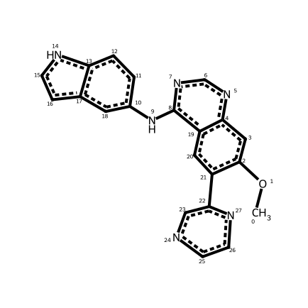 COc1cc2ncnc(Nc3ccc4[nH]ccc4c3)c2cc1-c1cnccn1